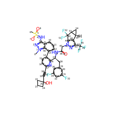 Cn1nc(NS(C)(=O)=O)c2cccc(-c3ccc(C#CC4(O)CCC4)nc3[C@H](Cc3cc(F)cc(F)c3)NC(=O)Cn3nc(C(F)(F)F)c4c3C(F)(F)C3C[C@H]43)c21